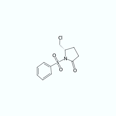 O=C1CC[C@@H](CCl)N1S(=O)(=O)c1ccccc1